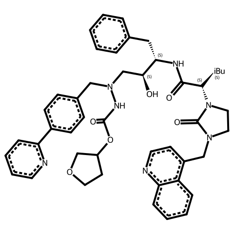 CC[C@H](C)[C@@H](C(=O)N[C@@H](Cc1ccccc1)[C@@H](O)CN(Cc1ccc(-c2ccccn2)cc1)NC(=O)OC1CCOC1)N1CCN(Cc2ccnc3ccccc23)C1=O